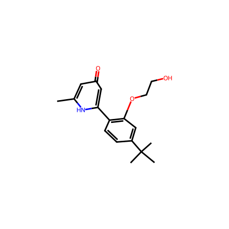 Cc1cc(=O)cc(-c2ccc(C(C)(C)C)cc2OCCO)[nH]1